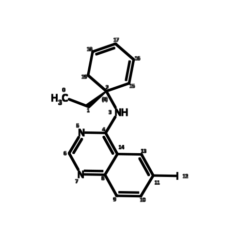 CC[C@]1(Nc2ncnc3ccc(I)cc23)C=CC=CC1